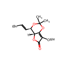 COC1=C2OC(C)(C)O[C@H](C=CC(C)(C)C)[C@H]2OC1=O